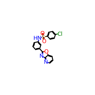 O=S(=O)(Nc1cccc(-c2nc3ncccc3o2)c1)c1ccc(Cl)cc1